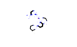 CN(C)c1ccnc(NC(=O)N2CCCNc3ccc(N4CCCC(C(F)(F)F)C4)nc32)n1